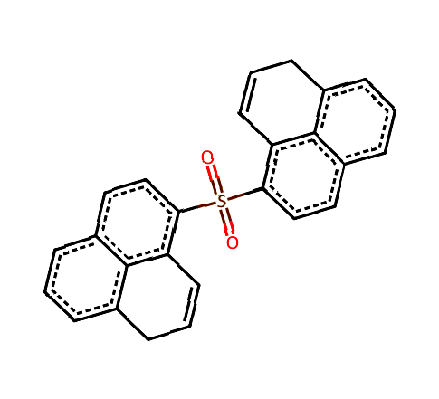 O=S(=O)(c1ccc2cccc3c2c1C=CC3)c1ccc2cccc3c2c1C=CC3